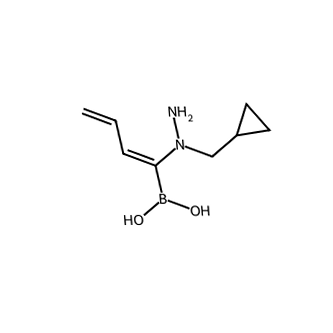 C=C/C=C(/B(O)O)N(N)CC1CC1